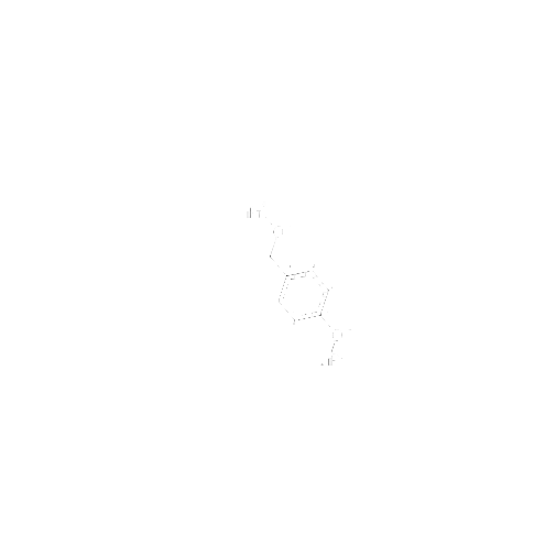 CC(C)OCc1ccc(OC(C)C)cc1